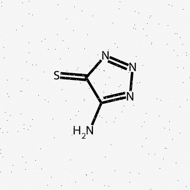 NC1=NN=NC1=S